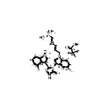 CN(C)C=NCCCn1cc(-n2c(-c3cn(C)c4cccc(F)c34)n[nH]c2=O)c2cc(F)ccc21.O=C(O)C(F)(F)F